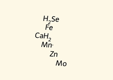 [CaH2].[Fe].[Mn].[Mo].[SeH2].[Zn]